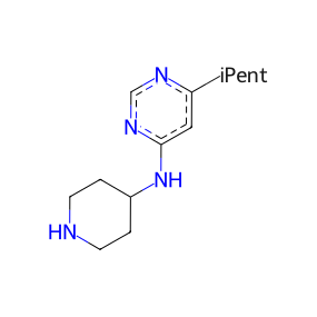 CCCC(C)c1cc(NC2CCNCC2)ncn1